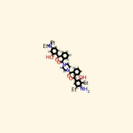 CCc1cc(C(=O)c2ccccc2C(=O)N2CCN(C(=O)c3ccccc3C(=O)c3ccc(N(CC)CC)cc3O)CC2)c(O)c(CC)c1N